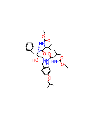 CCOC(=O)N[C@H](C(=O)N[C@@H](Cc1ccccc1)[C@@H](O)CN(Cc1ccc(OCC(C)C)cc1)NC(=O)[C@@H](NC(=O)OCC)C(C)C)C(C)C